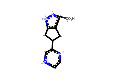 O=C(O)c1n[nH]c2c1CC(c1cnccn1)C2